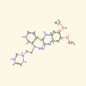 COc1cc2nc(NCCCN3C=NC=CC3)c(-c3ccncc3)nc2cc1OC